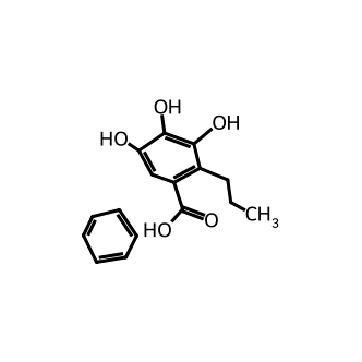 CCCc1c(C(=O)O)cc(O)c(O)c1O.c1ccccc1